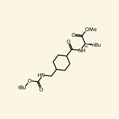 CCCC[C@@H](NC(=O)C1CCC(CNC(=O)OC(C)(C)C)CC1)C(=O)OC